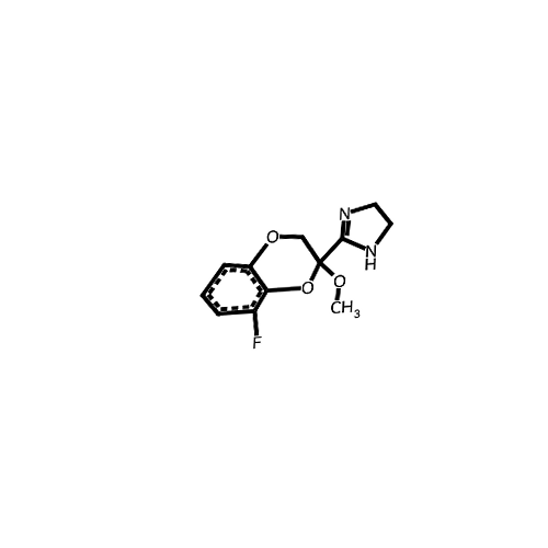 COC1(C2=NCCN2)COc2cccc(F)c2O1